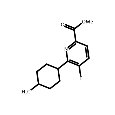 COC(=O)c1ccc(F)c(C2CCC(C)CC2)n1